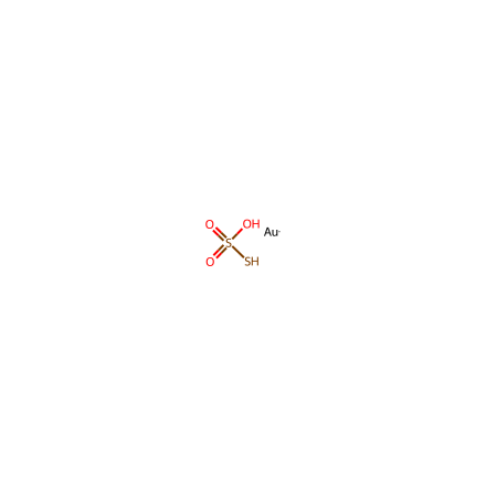 O=S(=O)(O)S.[Au]